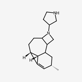 C[C@@H]1C=C2[C@@H]3CCC4C(CN4C4CCNC4)C(C1)[C@H]23